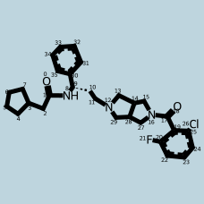 O=C(CC1CCCC1)N[C@@H](CCN1CC2CN(C(=O)c3c(F)cccc3Cl)CC2C1)c1ccccc1